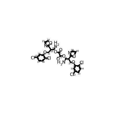 NC(OC(=O)C(=O)OC(N)C(COc1cc(Cl)ccc1Cl)c1ncco1)C(COc1cc(Cl)ccc1Cl)c1ncco1